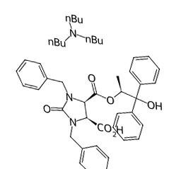 CCCCN(CCCC)CCCC.C[C@H](OC(=O)[C@H]1[C@@H](C(=O)O)N(Cc2ccccc2)C(=O)N1Cc1ccccc1)C(O)(c1ccccc1)c1ccccc1